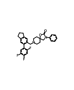 O=C1OC2(CCN(Cc3cc4c(cc3-c3cc(F)c(F)cc3F)CCC4)CC2)CN1c1ccccc1